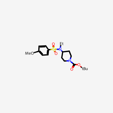 CCN(C1CCN(C(=O)OC(C)(C)C)CC1)S(=O)(=O)c1ccc(OC)cc1